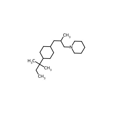 CCC(C)(C)C1CCC(CC(C)CN2CCCCC2)CC1